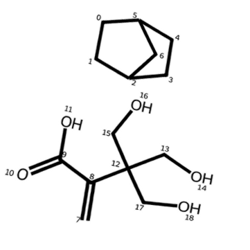 C1CC2CCC1C2.C=C(C(=O)O)C(CO)(CO)CO